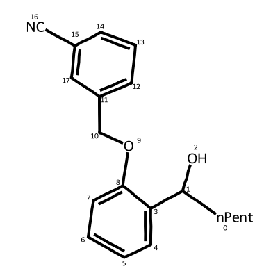 CCCCCC(O)c1ccccc1OCc1cccc(C#N)c1